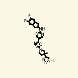 CC1(c2c[nH]nn2)CCN(c2nnc(-c3cnc(NC4Cc5cc(F)c(F)cc5C4)nc3)o2)C1